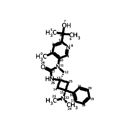 Cc1cc(C(C)(C)O)ncc1N1C[C@]2(C[C@](c3ccccc3)(N(C)C)C2)NC1=O